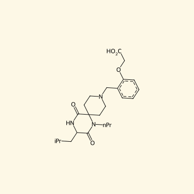 CCCN1C(=O)C(CC(C)C)NC(=O)C12CCN(Cc1ccccc1OCC(=O)O)CC2